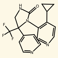 O=C1NCC(c2ccncc2)(C(F)(F)F)N1c1cnccc1C1CC1